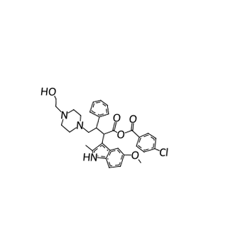 COc1ccc2[nH]c(C)c(C(C(=O)OC(=O)c3ccc(Cl)cc3)C(CN3CCN(CCO)CC3)c3ccccc3)c2c1